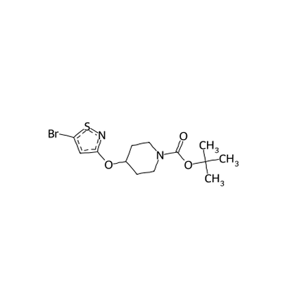 CC(C)(C)OC(=O)N1CCC(Oc2cc(Br)sn2)CC1